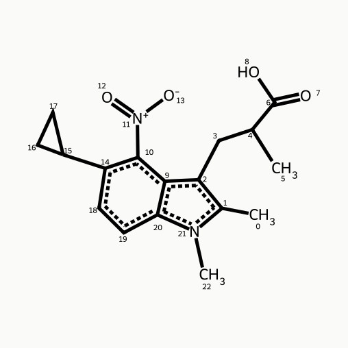 Cc1c(CC(C)C(=O)O)c2c([N+](=O)[O-])c(C3CC3)ccc2n1C